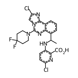 CC(Nc1ccc(Cl)nc1C(=O)O)c1cccc2c1nc(N1CCC(F)(F)CC1)n1cc(Cl)nc21